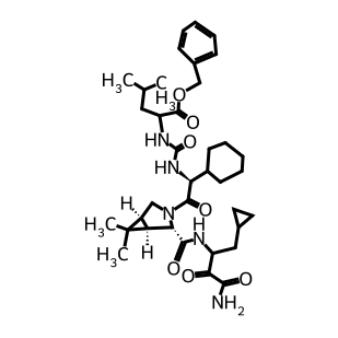 CC(C)CC(NC(=O)N[C@H](C(=O)N1C[C@H]2[C@@H]([C@H]1C(=O)NC(CC1CC1)C(=O)C(N)=O)C2(C)C)C1CCCCC1)C(=O)OCc1ccccc1